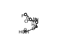 O=C(CCCCCOCc1ccc(-c2ccc3ncnc(Nc4ccc(OCc5cccc(F)c5)c(Cl)c4)c3c2)o1)NO